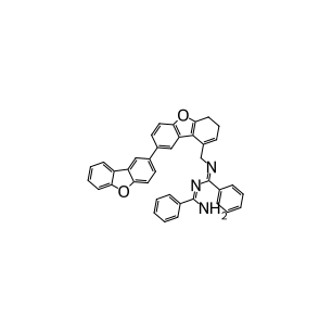 N/C(=N\C(=N/CC1=CCCc2oc3ccc(-c4ccc5oc6ccccc6c5c4)cc3c21)c1ccccc1)c1ccccc1